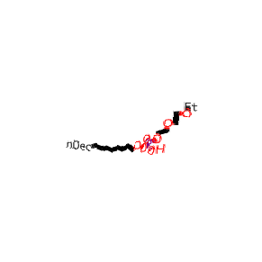 CCCCCCCCCCCCCCCCCCOOP(=O)(O)OCCOCCOCC